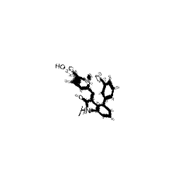 Cn1c(C=C2C(=O)Nc3cccc(-c4cccc(Cl)c4)c32)ccc1C(=O)O